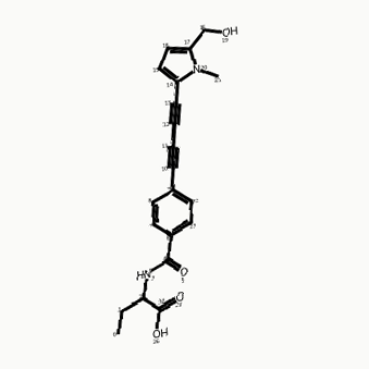 CCC(NC(=O)c1ccc(C#CC#Cc2ccc(CO)n2C)cc1)C(=O)O